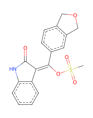 CS(=O)(=O)OC(=C1C(=O)Nc2ccccc21)c1ccc2c(c1)COC2